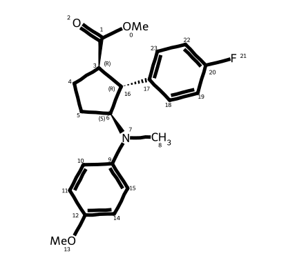 COC(=O)[C@@H]1CC[C@H](N(C)c2ccc(OC)cc2)[C@H]1c1ccc(F)cc1